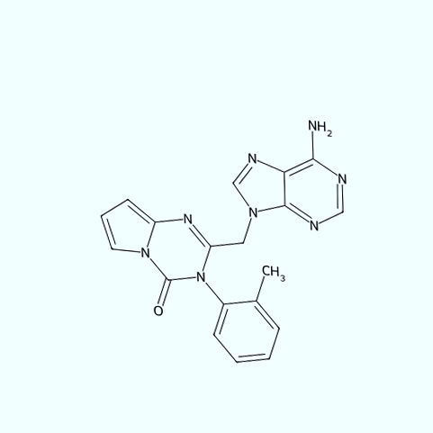 Cc1ccccc1-n1c(Cn2cnc3c(N)ncnc32)nc2cccn2c1=O